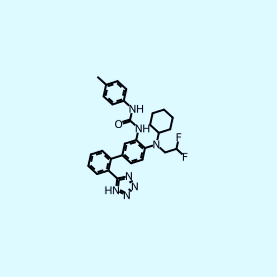 Cc1ccc(NC(=O)Nc2cc(-c3ccccc3-c3nnn[nH]3)ccc2N(CC(F)F)C2CCCCC2)cc1